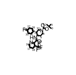 CC(C)(C)OC(=O)N1CC[C@@H](NC(=O)c2ncccc2C(F)(F)F)[C@H](c2ccc(F)cc2)C1